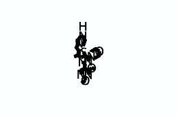 COc1ncc(-c2nc(N3CCOCC3)c3sc(CN4CCNCC4)c(C)c3n2)c(OC)n1